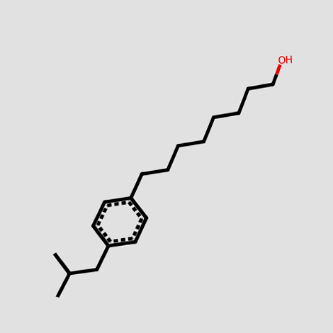 CC(C)Cc1ccc(CCCCCCCCO)cc1